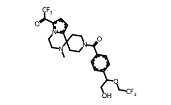 CN1CCn2c(C(=O)C(F)(F)F)ccc2C12CCN(C(=O)c1ccc(C(CO)OCC(F)(F)F)cc1)CC2